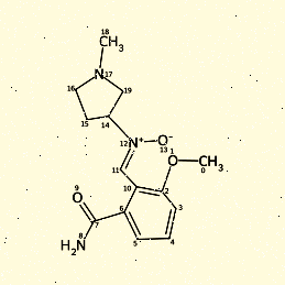 COc1cccc(C(N)=O)c1/C=[N+](\[O-])C1CCN(C)C1